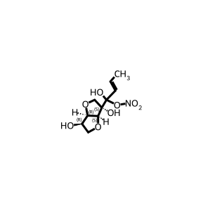 CC=CC(O)(O[N+](=O)[O-])[C@]1(O)CO[C@@H]2[C@H](O)CO[C@@H]21